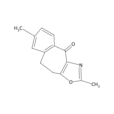 Cc1ccc2c(c1)CCc1oc(C)nc1C2=O